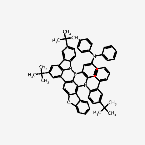 CC(C)(C)c1ccc(N2c3ccc(N(c4ccccc4)c4ccccc4)cc3B3c4c(cc5oc6ccccc6c5c42)-c2cc(C(C)(C)C)cc4c5cc(C(C)(C)C)ccc5n3c24)c(-c2ccccc2)c1